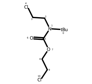 CC(C)(C)N(CCCl)C(=O)OCCCl